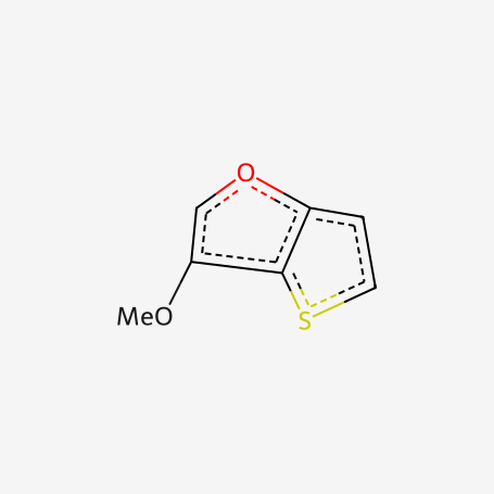 COc1coc2ccsc12